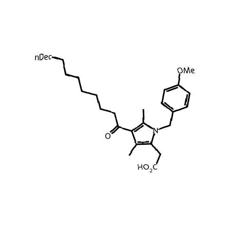 CCCCCCCCCCCCCCCCCC(=O)c1c(C)c(CC(=O)O)n(Cc2ccc(OC)cc2)c1C